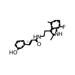 Cc1[nH]c2c(F)ccc(C)c2c1CCNC(=O)/C=C/c1cccc(O)c1